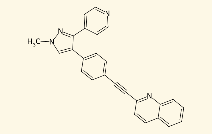 Cn1cc(-c2ccc(C#Cc3ccc4ccccc4n3)cc2)c(-c2ccncc2)n1